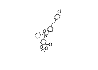 CC1(C)OC(=O)c2cc(N(Cc3ccc(CCc4ccc(Cl)cc4)cc3)C(=O)C3CCCCC3)ccc2O1